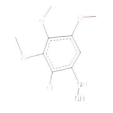 COc1cc(NN)c(Cl)c(OC)c1OC